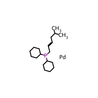 CC(C)CC=CCP(C1CCCCC1)C1CCCCC1.[Pd]